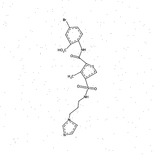 Cc1c(S(=O)(=O)NCCCn2ccnc2)csc1C(=O)Nc1ccc(Br)cc1C(=O)O